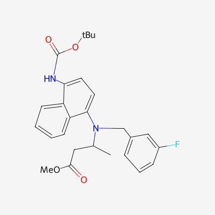 COC(=O)CC(C)N(Cc1cccc(F)c1)c1ccc(NC(=O)OC(C)(C)C)c2ccccc12